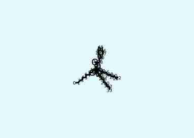 CCCCCCCCCOCC(COCCCCCCCCC)(COCCCCCCCCC)COC(=O)CCCN1CCN(C)CC1